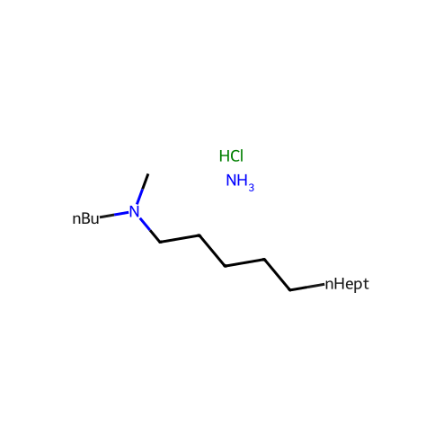 CCCCCCCCCCCCN(C)CCCC.Cl.N